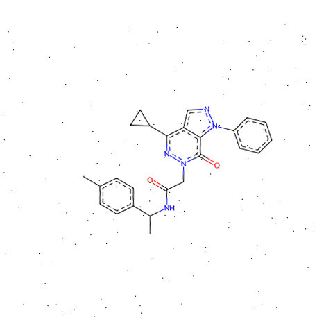 Cc1ccc(C(C)NC(=O)Cn2nc(C3CC3)c3cnn(-c4ccccc4)c3c2=O)cc1